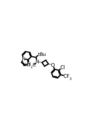 CC(C)(C)C(c1cccn2ccnc12)N(C(=O)O)[C@H]1C[C@@H](Oc2cccc(C(F)(F)F)c2Cl)C1